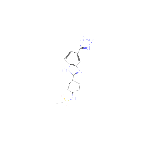 Cn1nnc(-c2ccc3[nH]c(C4CCC(NS(=O)(=O)C(C)(C)C)CC4)nc3c2)n1